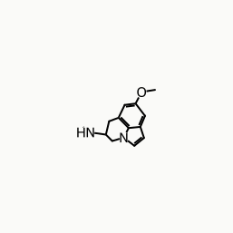 CNC1Cc2cc(OC)cc3ccn(c23)C1